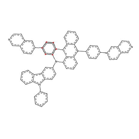 c1ccc(N(c2ccc3c(c2)c2ccccc2n3-c2ccccc2)c2cccc3c(-c4ccc(-c5ccc6cnccc6c5)cc4)c4ccccc4c(-c4ccc(-c5ccc6cnccc6c5)cc4)c23)cc1